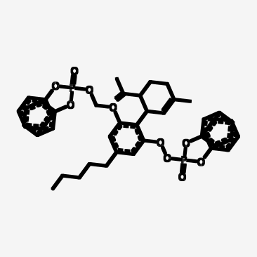 C=C(C)C1CCC(C)=CC1c1c(OCOP(=O)(Oc2ccccc2)Oc2ccccc2)cc(CCCCC)cc1OOP(=O)(Oc1ccccc1)Oc1ccccc1